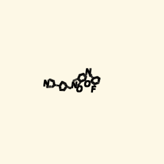 N#Cc1cccc(F)c1Oc1cccc2c1C(=O)N(Cc1ccc(-c3ccncc3)cc1)C2